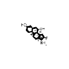 C[C@]12CC[C@H]3[C@@H]([C@@H](O)C=C4C=C(O)C=C[C@@]43C)[C@@H]1C[C@@H](F)[C@@H]2N